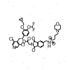 O=C(CN1C(=O)c2ccc(CNS(=O)(=O)CCCN3CCOCC3)cc2C1=O)O[C@@H](Cc1c(Cl)cncc1Cl)c1ccc(OC(F)F)c(OCC2CC2)c1